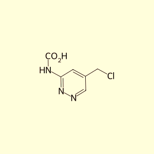 O=C(O)Nc1cc(CCl)cnn1